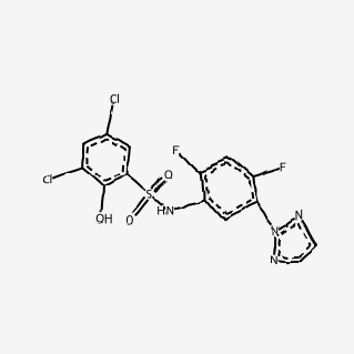 O=S(=O)(Nc1cc(-n2nccn2)c(F)cc1F)c1cc(Cl)cc(Cl)c1O